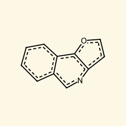 c1ccc2c(c1)cnc1ccoc12